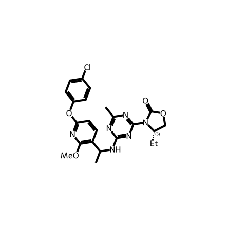 CC[C@H]1COC(=O)N1c1nc(C)nc(NC(C)c2ccc(Oc3ccc(Cl)cc3)nc2OC)n1